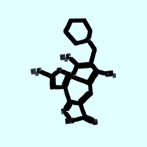 Cc1cc(C2=NNC(=O)/C2=C/c2[nH]c(C)c(CN3CCCCC3)c2C)no1